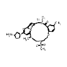 CC[C@H]1c2cc3nc(N4CC[C@H](N)C4)cc(n3n2)N(C)CCN(S(C)(=O)=O)CCOc2ccc(C)cc2C(=O)N1C